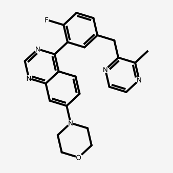 Cc1nccnc1Cc1ccc(F)c(-c2ncnc3cc(N4CCOCC4)ccc23)c1